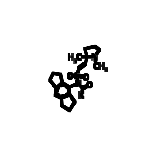 CN1CCCC1(C)C=CS(=O)(=O)N([C](=O)[K])c1c2c(cc3c1CCC3)CCC2